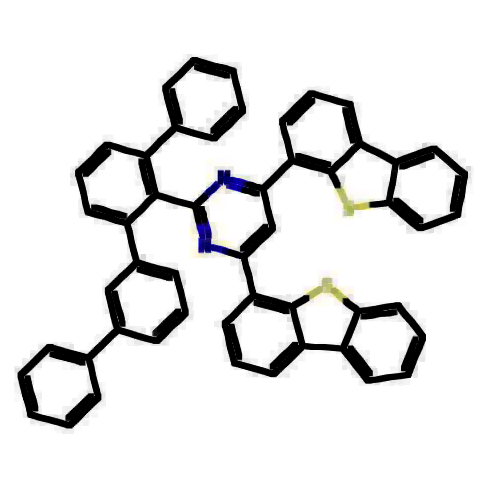 c1ccc(-c2cccc(-c3cccc(-c4ccccc4)c3-c3nc(-c4cccc5c4sc4ccccc45)cc(-c4cccc5c4sc4ccccc45)n3)c2)cc1